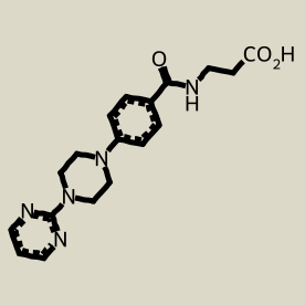 O=C(O)CCNC(=O)c1ccc(N2CCN(c3ncccn3)CC2)cc1